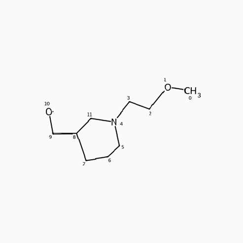 COCCN1CCCC(C[O])C1